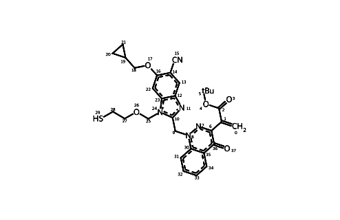 C=C(C(=O)OC(C)(C)C)c1nn(Cc2nc3cc(C#N)c(OCC4CC4)cc3n2COCCS)c2ccccc2c1=O